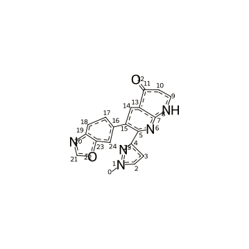 Cn1ccc(-c2nc3[nH]ccc(=O)c3cc2-c2ccc3ncoc3c2)n1